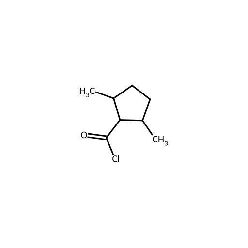 CC1CCC(C)C1C(=O)Cl